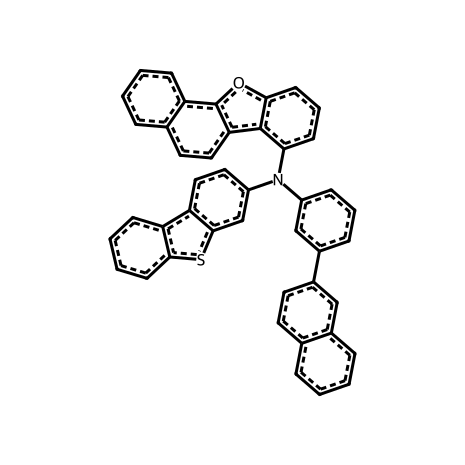 c1cc(-c2ccc3ccccc3c2)cc(N(c2ccc3c(c2)sc2ccccc23)c2cccc3oc4c5ccccc5ccc4c23)c1